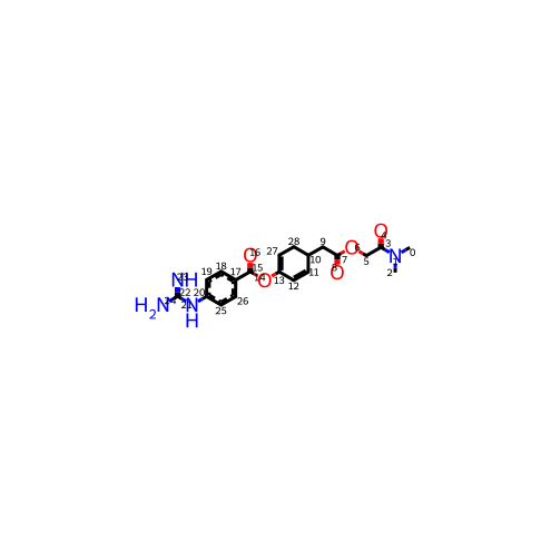 CN(C)C(=O)COC(=O)CC1C=CC(OC(=O)c2ccc(NC(=N)N)cc2)=CC1